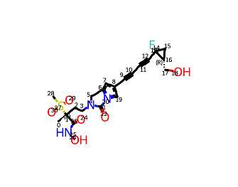 C[C@@](CCN1Cc2cc(C#CC#C[C@@]3(F)C[C@@H]3CO)cn2C1=O)(C(=O)NO)S(C)(=O)=O